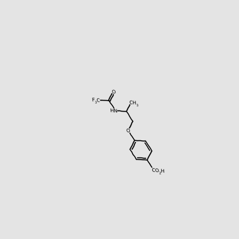 CC(COc1ccc(C(=O)O)cc1)NC(=O)C(F)(F)F